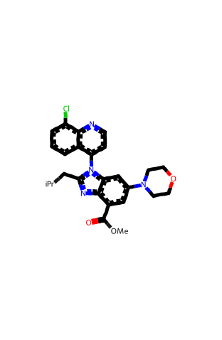 COC(=O)c1cc(N2CCOCC2)cc2c1nc(CC(C)C)n2-c1ccnc2c(Cl)cccc12